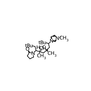 C[n+]1ccn(C(CC(C)(C)CC(C)(C)C(CC(C)(C)C)N2CCCC2=O)C(C)(C)C)c1